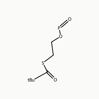 CC(C)(C)C(=O)SCCOP=O